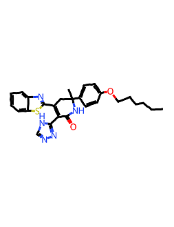 CCCCCCOc1ccc(C2(C)CC(c3nc4ccccc4s3)=C(c3nnc[nH]3)C(=O)N2)cc1